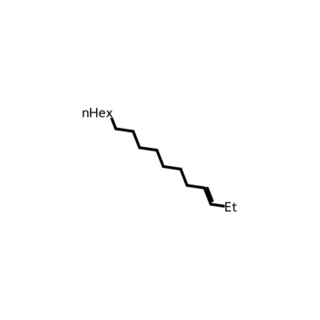 [CH2]CC=CCCCCCCCCCCCC[CH2]